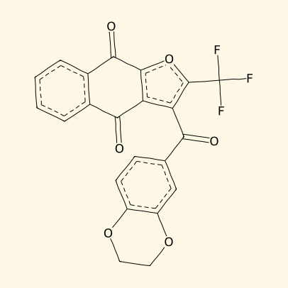 O=C1c2ccccc2C(=O)c2c1oc(C(F)(F)F)c2C(=O)c1ccc2c(c1)OCCO2